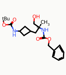 CC(C)(C)OC(=O)NC1CC(C[C@](C)(CO)NC(=O)OCc2ccccc2)C1